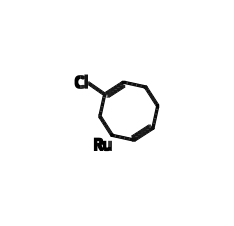 ClC1=CCCC=CCC1.[Ru]